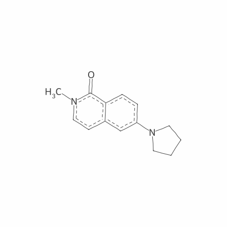 Cn1ccc2cc(N3CCCC3)ccc2c1=O